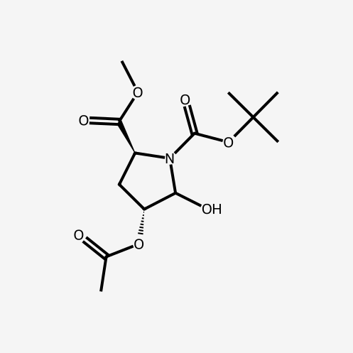 COC(=O)[C@@H]1C[C@@H](OC(C)=O)C(O)N1C(=O)OC(C)(C)C